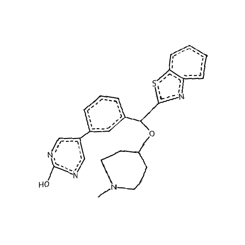 CN1CCC(OC(c2cccc(-c3cnc(O)nc3)c2)c2nc3ccccc3s2)CC1